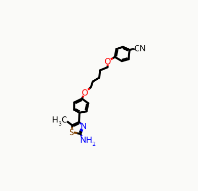 Cc1sc(N)nc1-c1ccc(OCCCCCOc2ccc(C#N)cc2)cc1